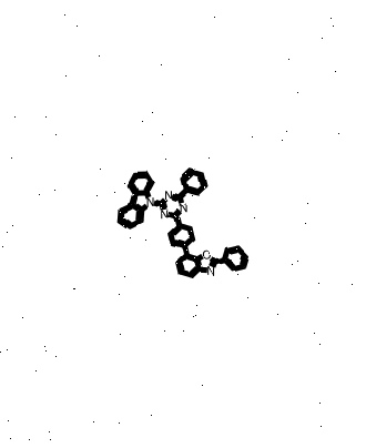 C1=C(c2nc(-c3ccccc3)nc(-n3c4ccccc4c4ccccc43)n2)CCC(c2cccc3nc(-c4ccccc4)oc23)=C1